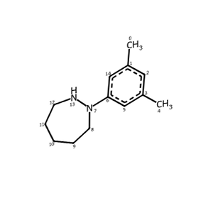 Cc1cc(C)cc(N2CCCCCN2)c1